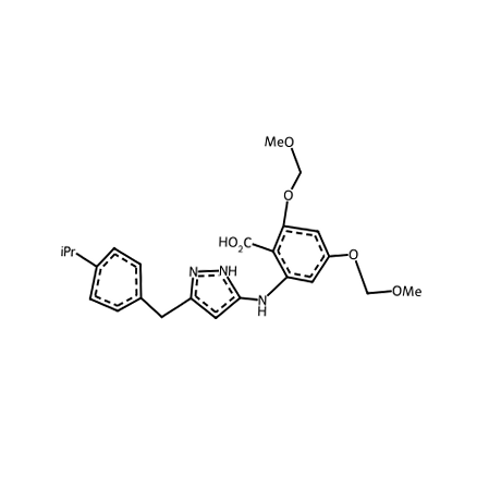 COCOc1cc(Nc2cc(Cc3ccc(C(C)C)cc3)n[nH]2)c(C(=O)O)c(OCOC)c1